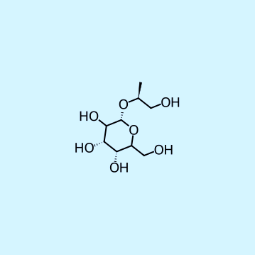 C[C@@H](CO)O[C@@H]1OC(CO)[C@H](O)[C@H](O)C1O